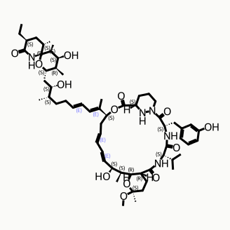 CC[C@H]1C[C@H](C)[C@@]2(NC1=O)O[C@@H](C[C@H](O)[C@@H](C)CC/C=C/C=C(\C)[C@@H]1C/C=C/C=C/[C@H](O)[C@H](C)[C@H]3O[C@](C)(OC)CC[C@H]3C(=O)N[C@@H](C(C)C)C(=O)N[C@@H](Cc3cccc(O)c3)C(=O)N3CCC[C@H](N3)C(=O)O1)[C@H](C)[C@H](O)[C@@H]2C